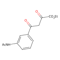 CCOC(=O)C(=O)CC(=O)c1cccc(NC(C)=O)c1